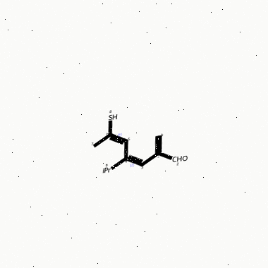 C=C(C=O)/C=C(\C=C(/C)S)C(C)C